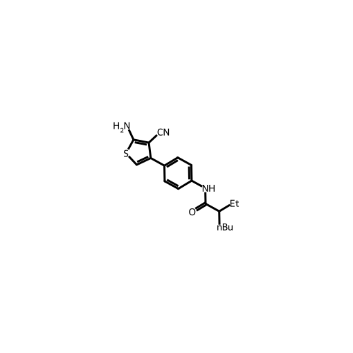 CCCCC(CC)C(=O)Nc1ccc(-c2csc(N)c2C#N)cc1